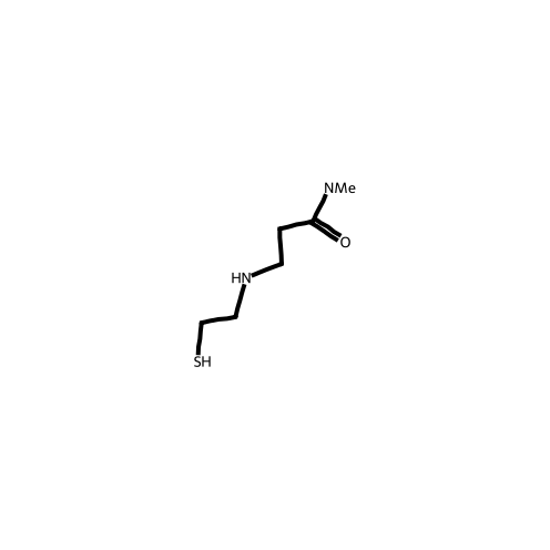 CNC(=O)CCNCCS